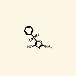 N#Cc1nc(N)sc1S(=O)(=O)c1ccccc1